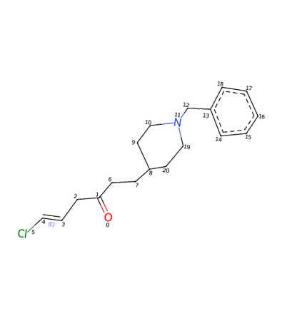 O=C(C/C=C/Cl)CCC1CCN(Cc2ccccc2)CC1